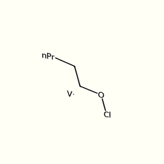 CCCCCOCl.[V]